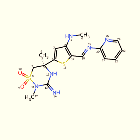 CNc1cc([C@]2(C)CS(=O)(=O)N(C)C(=N)N2)sc1/C=N/c1ccccn1